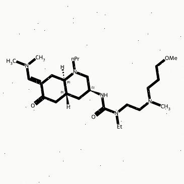 CCCN1C[C@@H](NC(=O)N(CC)CCN(C)CCCOC)C[C@@H]2CC(=O)C(=CN(C)C)C[C@H]21